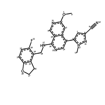 COc1cc2c(-c3cc(C#N)nn3C)cnc(NCc3c(F)ccc4c3CCO4)c2cn1